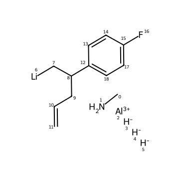 CN.[Al+3].[H-].[H-].[H-].[Li][CH2]C(CC=C)c1ccc(F)cc1